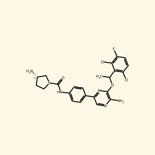 CC(Oc1nc(-c2ccc(NC(=O)N3CC[C@H](N)C3)cc2)cnc1N)c1c(Cl)ccc(F)c1Cl